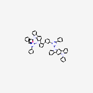 c1ccc(-c2nc(-c3cccc(-c4cccc5c4c4ccc6c7ccccc7n(-c7ccccc7)c6c4n5-c4nc(-c5ccccc5)nc(-c5ccccc5)n4)c3)nc(-n3c4ccccc4c4cc5c(cc43)c3ccccc3n5-c3ccccc3)n2)cc1